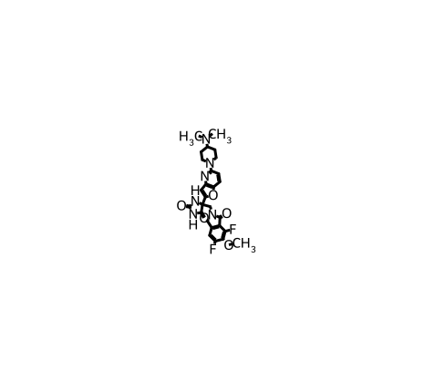 COc1c(F)cc2c(c1F)C(=O)N(CC1(c3cc4nc(N5CCC(N(C)C)CC5)ccc4o3)NC(=O)NC1=O)C2